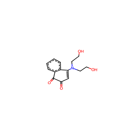 O=C1C=C(N(CCO)CCO)c2ccccc2C1=O